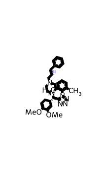 COC1=CCC([C@@H](c2nnnn2-c2c(C)cccc2C)N2CCN(C/C=C/c3ccccc3)CC2)C=C1OC